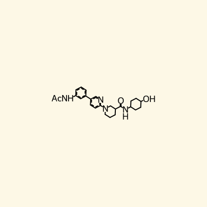 CC(=O)Nc1cccc(-c2ccc(N3CCCC(C(=O)NC4CCC(O)CC4)C3)nc2)c1